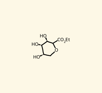 CCOC(=O)C1OC[C@@H](O)[C@@H](O)[C@H]1O